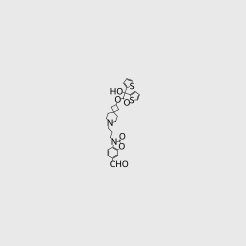 O=Cc1ccc2c(c1)oc(=O)n2CCCN1CCC2(CC1)CC(OC(=O)C(O)(c1cccs1)c1cccs1)C2